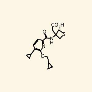 O=C(O)CC1(NC(=O)c2ccc(C3CC3)c(OCC3CC3)n2)CSC1